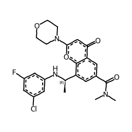 C[C@@H](Nc1cc(F)cc(Cl)c1)c1cc(C(=O)N(C)C)cc2c(=O)cc(N3CCOCC3)oc12